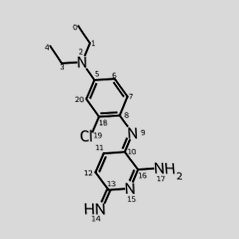 CCN(CC)c1ccc(N=C2C=CC(=N)N=C2N)c(Cl)c1